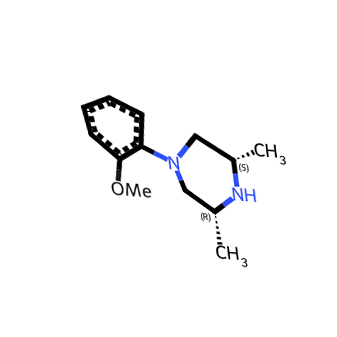 COc1ccccc1N1C[C@@H](C)N[C@@H](C)C1